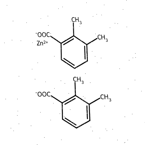 Cc1cccc(C(=O)[O-])c1C.Cc1cccc(C(=O)[O-])c1C.[Zn+2]